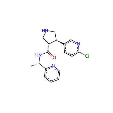 C[C@H](NC(=O)[C@@H]1CNC[C@H]1c1ccc(Cl)nc1)c1ccccn1